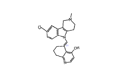 CN1CCc2c(c3cc(Cl)ccc3n2/C=C2\CCCc3nccc(O)c32)C1